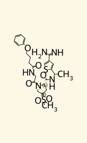 CC(NC(=O)[C@@H]1C[C@@H](S(C)(=O)=O)CN1C(=O)CNC(=O)CCCOc1ccccc1)c1cc(C(=N)N)cs1